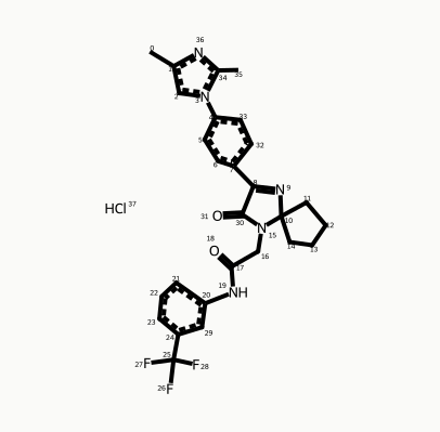 Cc1cn(-c2ccc(C3=NC4(CCCC4)N(CC(=O)Nc4cccc(C(F)(F)F)c4)C3=O)cc2)c(C)n1.Cl